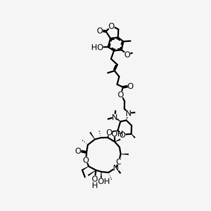 CC[C@H]1OC(=O)[C@H](C)[C@@H](C)[C@H](C)[C@@H](O[C@@H]2O[C@H](C)C[C@@H](N(C)CCOC(=O)CC/C(C)=C/Cc3c(O)c4c(c(C)c3OC)COC4=O)[C@@H]2N(C)C)[C@](C)(O)C[C@@H](C)CN(C)[C@H](C)[C@@H](O)[C@]1(C)O